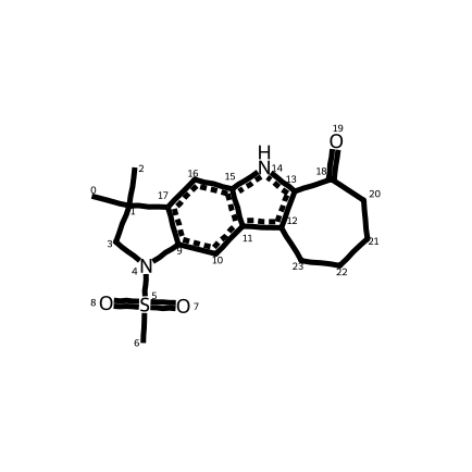 CC1(C)CN(S(C)(=O)=O)c2cc3c4c([nH]c3cc21)C(=O)CCCC4